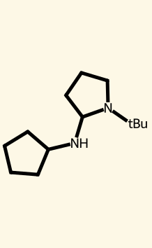 CC(C)(C)N1CCCC1NC1CCCC1